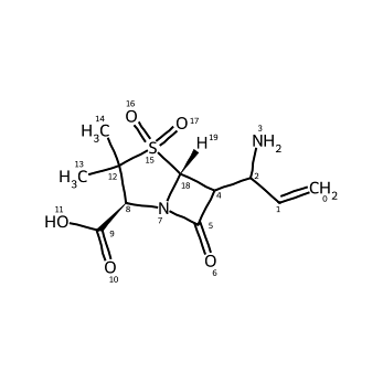 C=CC(N)C1C(=O)N2[C@@H](C(=O)O)C(C)(C)S(=O)(=O)[C@H]12